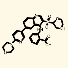 O=C(O)c1ccccc1Nc1c(S(=O)(=O)C2CNCCO2)cnc2ccc(-c3ccc(N4CCOCC4)nc3)cc12